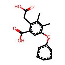 Cc1c(Oc2ccccc2)cc(C(=O)O)c(CC(=O)O)c1C